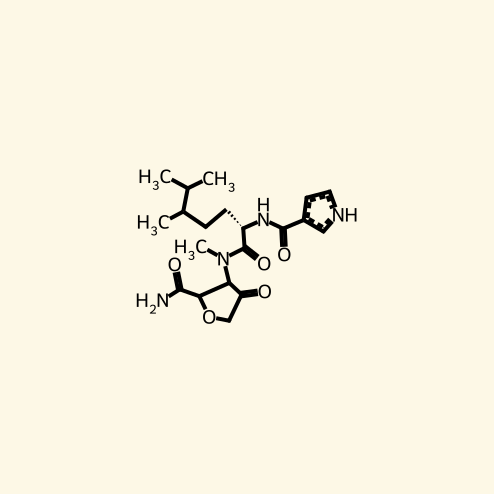 CC(C)C(C)CC[C@H](NC(=O)c1cc[nH]c1)C(=O)N(C)C1C(=O)COC1C(N)=O